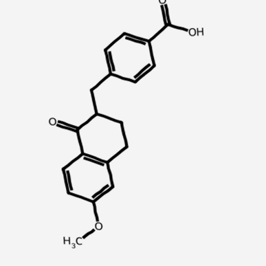 COc1ccc2c(c1)CCC(Cc1ccc(C(=O)O)cc1)C2=O